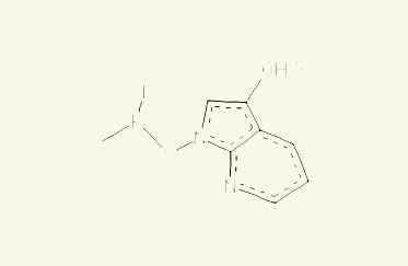 O=Cc1cn(SP(I)I)c2ncccc12